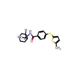 Cc1ccc(Sc2ccc(C(=O)N[C@H]3CN4CCC3CC4)cc2)s1